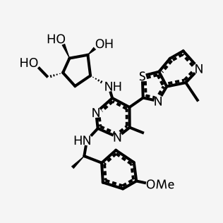 COc1ccc([C@@H](C)Nc2nc(C)c(-c3nc4c(C)nccc4s3)c(N[C@@H]3C[C@H](CO)[C@@H](O)[C@H]3O)n2)cc1